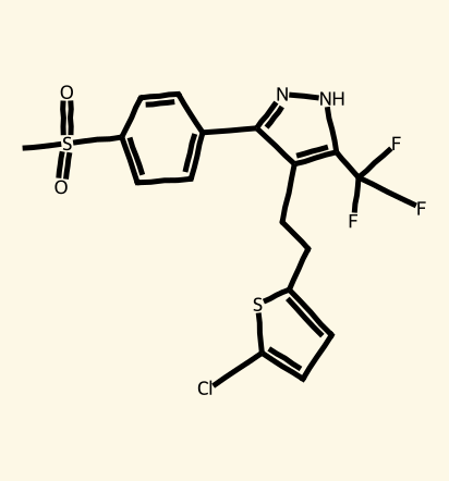 CS(=O)(=O)c1ccc(-c2n[nH]c(C(F)(F)F)c2CCc2ccc(Cl)s2)cc1